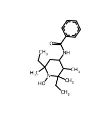 CCC1(C)CC(NC(=O)c2ccccc2)C(C)C(C)(CC)N1O